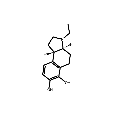 CCN1CC[C@H]2c3ccc(O)c(O)c3CC[C@@H]21